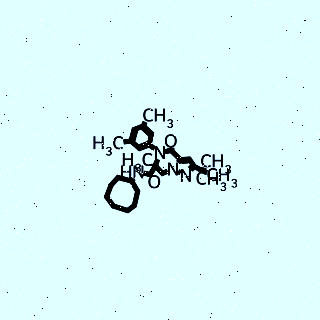 Cc1cc(C)cc(N2C(=O)c3cc(C(C)(C)C)nn3CC2(C)C(=O)NC2CCCCCCC2)c1